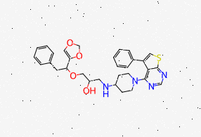 OC(CNC1CCN(c2ncnc3scc(-c4ccccc4)c23)CC1)COC(Cc1ccccc1)C1=COCO1